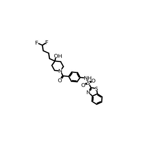 O=C(c1ccc(NS(=O)(=O)c2nc3ccccc3s2)cc1)N1CCC(O)(CCCC(F)F)CC1